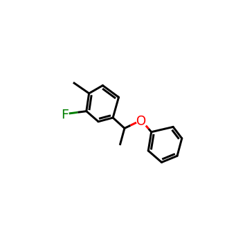 Cc1ccc(C(C)Oc2ccccc2)cc1F